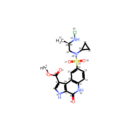 CCCOC(=O)c1c[nH]c2c(=O)[nH]c3ccc(S(=O)(=O)N(C[C@@H](C)NCl)C4CC4)cc3c12